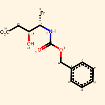 CC(C)[C@H](NC(=O)OCc1ccccc1)[C@@H](O)CC(=O)O